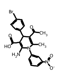 CC(=O)C1=C(C)N(c2cccc([N+](=O)[O-])c2)C(N)=C(C(=O)O)C1c1ccc(Br)cc1